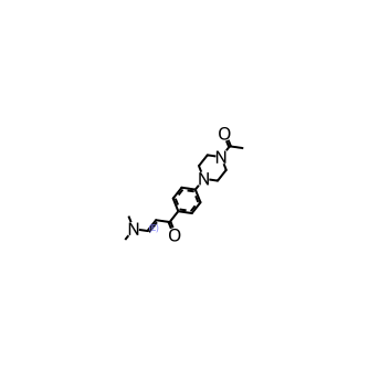 CC(=O)N1CCN(c2ccc(C(=O)/C=C/N(C)C)cc2)CC1